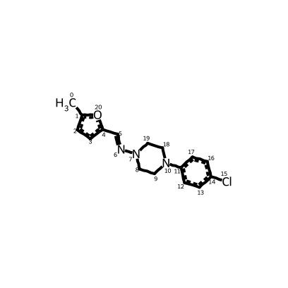 Cc1ccc(/C=N/N2CCN(c3ccc(Cl)cc3)CC2)o1